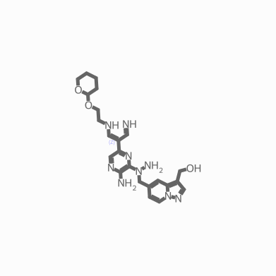 N=C/C(=C\NCCOC1CCCCO1)c1cnc(N)c(N(N)Cc2ccn3ncc(CO)c3c2)n1